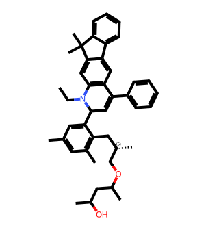 CCN1c2cc3c(cc2C(c2ccccc2)=CC1c1cc(C)cc(C)c1C[C@H](C)COC(C)CC(C)O)-c1ccccc1C3(C)C